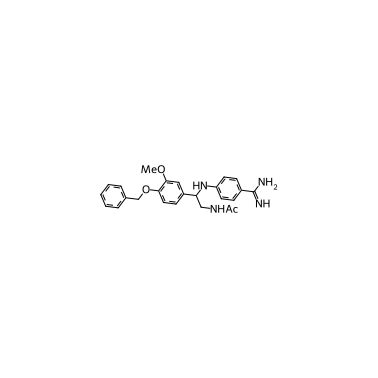 COc1cc(C(CNC(C)=O)Nc2ccc(C(=N)N)cc2)ccc1OCc1ccccc1